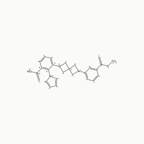 COC(=O)c1cccc(N2CC3(C2)CN(c2cccc(C(=O)O)c2-n2cccc2)C3)c1